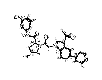 CC(=O)c1cn(CC(=O)N2C[C@H](F)C[C@H]2C(=O)Nc2nccc(Cl)n2)c2ccc(-c3ccnnc3)cc12